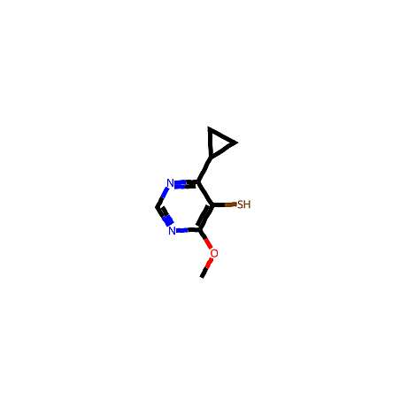 COc1ncnc(C2CC2)c1S